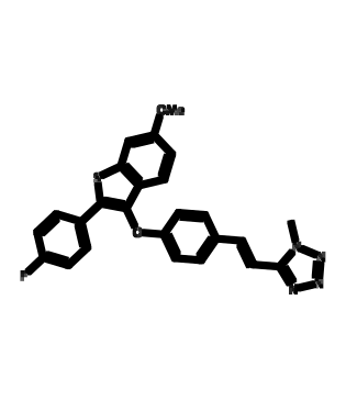 COc1ccc2c(Oc3ccc(C=Cc4nnnn4C)cc3)c(-c3ccc(F)cc3)sc2c1